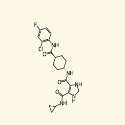 O=C(NC1CC1)C1=C(C(=O)N[C@H]2CC[C@H](C(=O)Nc3ccc(F)cc3Cl)CC2)NCN1